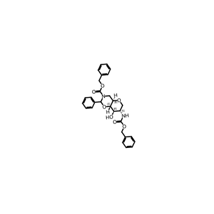 O=C(N[C@H]1CO[C@@H]2CN(C(=O)OCc3ccccc3)C(c3ccccc3)O[C@H]2[C@@H]1O)OCc1ccccc1